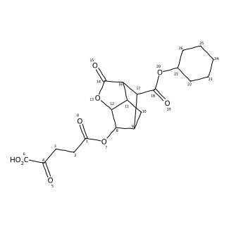 O=C(CCC(=O)C(=O)O)OC1C2CC3C1OC(=O)C3C2C(=O)OC1CCCCC1